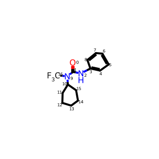 O=C(Nc1ccccc1)N(C1CCCCC1)C(F)(F)F